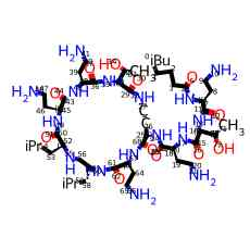 CCC(C)CCCC(=O)N[C@@H](CCN)C(=O)N[C@H](C(=O)N[C@@H](CCN)C(=O)N[C@H]1CCNC(=O)[C@H]([C@@H](C)O)NC(=O)[C@H](CCN)NC(=O)[C@H](CCN)NC(=O)[C@H](CC(C)C)NC[C@@H](CC(C)C)NC(=O)[C@H](CCN)NC1=O)[C@@H](C)O